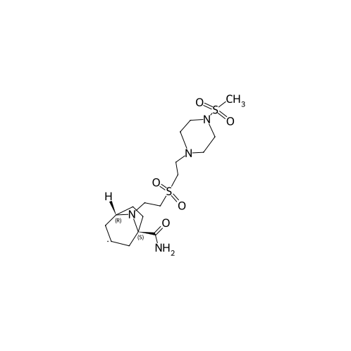 CS(=O)(=O)N1CCN(CCS(=O)(=O)CCN2[C@@H]3C[CH]C[C@@]2(C(N)=O)CC3)CC1